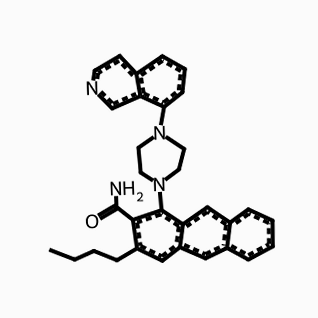 CCCCc1cc2cc3ccccc3cc2c(N2CCN(c3cccc4ccncc34)CC2)c1C(N)=O